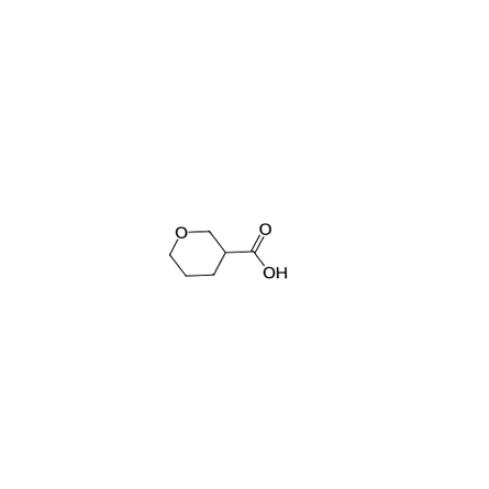 O=C(O)C1CCCOC1